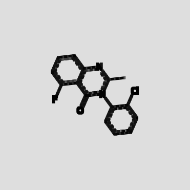 Cc1nc2cccc(F)c2c(=O)n1-c1ccccc1Cl